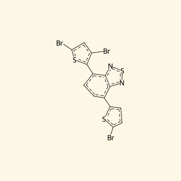 Brc1ccc(-c2ccc(-c3sc(Br)cc3Br)c3nsnc23)s1